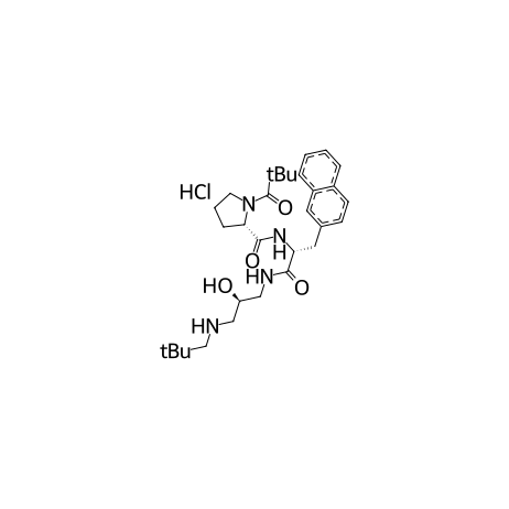 CC(C)(C)CNC[C@@H](O)CNC(=O)[C@@H](Cc1ccc2ccccc2c1)NC(=O)[C@@H]1CCCN1C(=O)C(C)(C)C.Cl